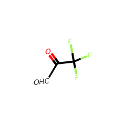 O=CC(=O)C(F)(F)F